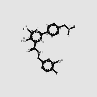 Cc1ccc(CNC(=O)c2nc(-c3ccc(CN(C)C)cc3)nc(O)c2O)cc1Cl